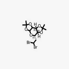 CC1(C)OC2O[C@@H](CC(Br)Br)[C@H]3OC(C)(C)O[C@H]3C2O1